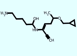 C#C/C(=C\CC(C)OCC1CC1)NC(O)CCCCN